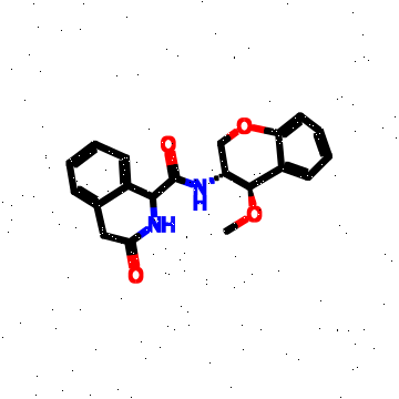 CO[C@@H]1c2ccccc2OC[C@H]1NC(=O)C1NC(=O)Cc2ccccc21